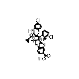 O=C(O)c1ccc2c(c1)nc1n2C[C@H]2[C@@H]1[C@H](c1cccc(Cl)c1F)[C@@]1(Cc3ccc(Cl)cc3NC1=O)N2CC1CC1